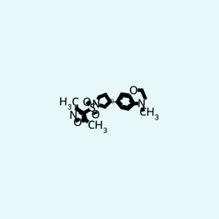 Cc1noc(C)c1S(=O)(=O)N1CC[C@H](c2ccc3c(c2)OCCN3C)C1